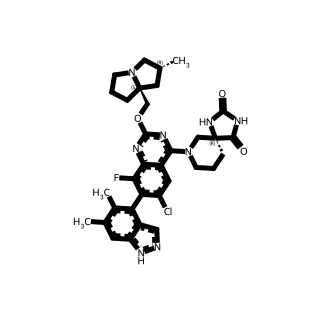 Cc1cc2[nH]ncc2c(-c2c(Cl)cc3c(N4CCC[C@]5(C4)NC(=O)NC5=O)nc(OC[C@@]45CCCN4C[C@H](C)C5)nc3c2F)c1C